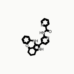 O=C(Nc1cc(-c2[nH]c3c(c2Nc2ccccc2)C(=O)CCC3)ccn1)c1ccccn1